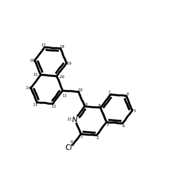 Clc1cc2ccccc2c(Cc2cccc3ccccc23)n1